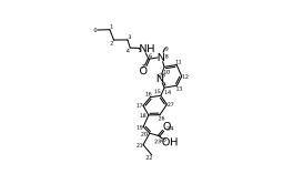 CCCCCNC(=O)N(C)c1cccc(-c2ccc(/C=C(/CC)C(=O)O)cc2)n1